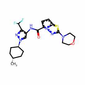 C[C@H]1CC[C@H](n2cc(NC(=O)c3ccc4sc(N5CCOCC5)nn34)c(C(F)F)n2)CC1